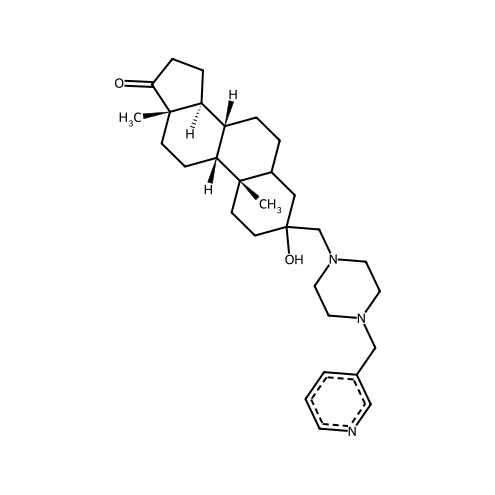 C[C@]12CCC(O)(CN3CCN(Cc4cccnc4)CC3)CC1CC[C@@H]1[C@H]2CC[C@]2(C)C(=O)CC[C@@H]12